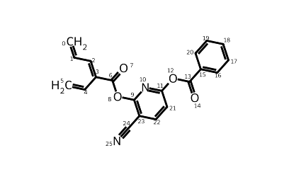 C=C/C=C(\C=C)C(=O)Oc1nc(OC(=O)c2ccccc2)ccc1C#N